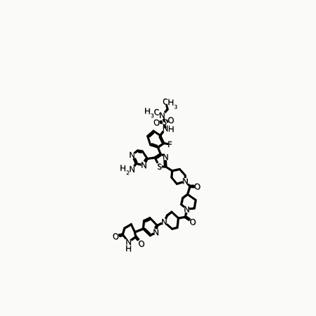 CCN(C)S(=O)(=O)Nc1cccc(-c2nc(C3CCN(C(=O)C4CCN(C(=O)C5CCN(c6ccc(C7CCC(=O)NC7=O)cn6)CC5)CC4)CC3)sc2-c2ccnc(N)n2)c1F